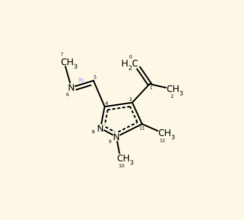 C=C(C)c1c(/C=N/C)nn(C)c1C